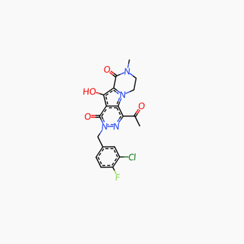 CC(=O)c1nn(Cc2ccc(F)c(Cl)c2)c(=O)c2c(O)c3n(c12)CCN(C)C3=O